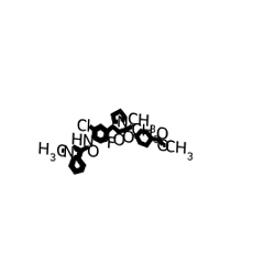 COC(=O)C1CCC(OC(C(=O)Cc2cc(Cl)c(NC(=O)c3cn(C)c4ccccc34)cc2F)(C(C)C)N2CCCC2)CC1